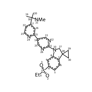 CCS(=O)(=O)c1ccc2c(c1)N(c1ncc(-c3cc(C(C)(C)NC)ccn3)cn1)CC21CC1